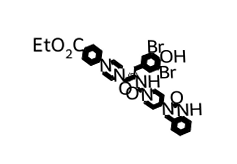 CCOC(=O)c1ccc(N2CCN(C(=O)[C@@H](Cc3cc(Br)c(O)c(Br)c3)NC(=O)N3CCC(N4Cc5ccccc5NC4=O)CC3)CC2)cc1